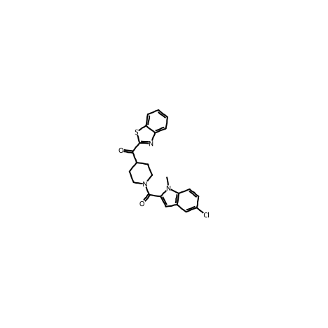 Cn1c(C(=O)N2CCC(C(=O)c3nc4ccccc4s3)CC2)cc2cc(Cl)ccc21